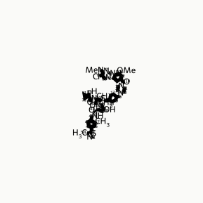 CNc1nc(Nc2ccc(C(=O)N3CCN(CC4CCC(CSC(C)(C)[C@H](NC(=O)C5(F)CC5)C(=O)N5C[C@H](O)C[C@@H]5C(=O)NCc5ccc(-c6scnc6C)cc5C)CC4)CC3)cc2OC)ncc1Cl